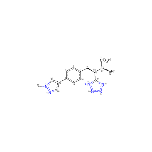 CCC[C@H](C(=O)O)[C@H](Cc1ccc(-c2cnn(C)c2)cc1)c1nnn[nH]1